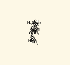 CNC(=O)c1ccc(/C=C/C(=O)C(N)c2cccn2-c2ccc(Cl)c(COc3cccc4c(C)c(C)oc34)c2Cl)cc1